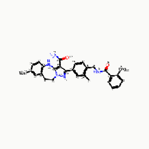 COc1ccccc1C(=O)NCc1ccc(-c2nn3c(c2C(N)=O)Nc2ccc(C(C)(C)C)cc2CC3)cc1C